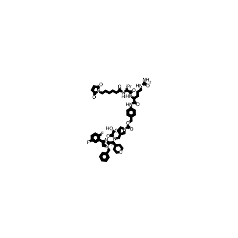 CC(O)C(=O)N(CC1CCN(C(=O)OCc2ccc(NC(=O)C(CCCNC(N)=O)NC(=O)C(NC(=O)CCCCCN3C(=O)C=CC3=O)C(C)C)cc2)C1)[C@@H](c1nc(-c2cc(F)ccc2F)cn1Cc1ccccc1)C1CCOCC1